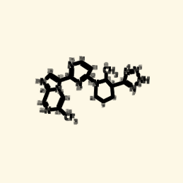 CC1C(c2nn[nH]n2)CCCN1c1ccnc(-c2cnc3cnc(C(F)(F)F)cn23)n1